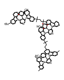 Cc1ccc2c(c1)c1cc(C)ccc1n2-c1cncc(-n2c3ccc(C)cc3c3cc(CCC(C)(C)c4ccc5c6ccccc6n(-c6cncc(-n7c8ccccc8c8ccc(C(C)(C)CCC(C)(C)c9ccc%10c(c9)c9ccccc9n%10-c9cncc(-n%10c%11ccccc%11c%11cc(C(C)(C)C)ccc%11%10)c9-c9cccc(C#N)c9)cc87)c6-c6cccc(C#N)c6)c5c4)ccc32)c1-c1cccc(C#N)c1